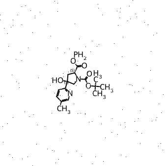 Cc1ccc([C@]2(O)C[C@@H](C(=O)OP)N(C(=O)OC(C)(C)C)C2)nc1